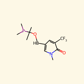 Cn1cc(BOC(C)(C)P(C)C)cc(C(F)(F)F)c1=O